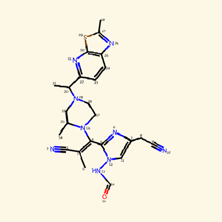 C/C(C#N)=C(\c1nc(CC#N)cn1NC=O)N1CCN(C(C)c2ccc3nc(C)sc3n2)CC1C